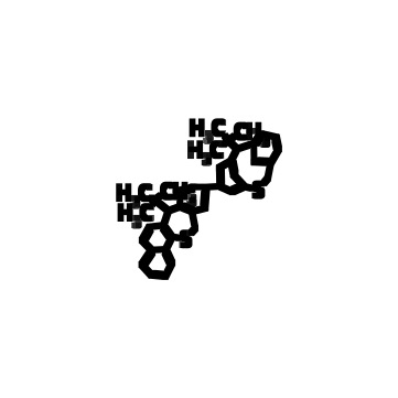 CC(C)(C)C1c2cccc(c2)CSc2cc(-c3ccc4c(c3)CSc3c(ccc5ccccc35)C4C(C)(C)C)cc1c2